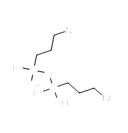 NCCC[Si](O)(O)O[Si](O)(O)CCCN